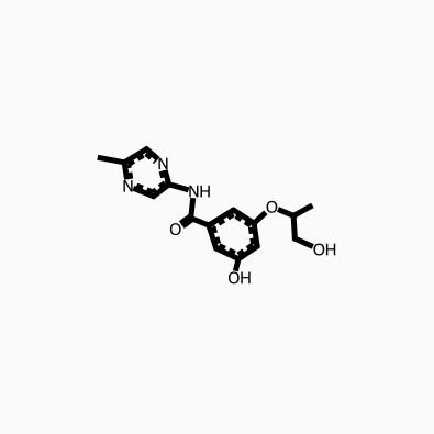 Cc1cnc(NC(=O)c2cc(O)cc(OC(C)CO)c2)cn1